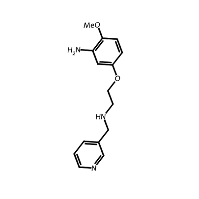 COc1ccc(OCCNCc2cccnc2)cc1N